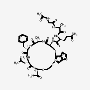 CC(=O)NCC(=O)N[C@@H](C)C(=O)N[C@@H](CCC(N)=O)C(=O)N[C@H]1CSc2c3ccsc3cn2CCCC[C@@H](C(N)=O)NC(=O)[C@H](CC(C)C)NC(=O)[C@H](Cc2ccccc2)NC(=O)[C@H](C)NC1=O